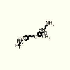 Cc1cc(OCCCC2CCN(c3nc(C(F)F)no3)CC2)ccc1C(=O)NCCCN